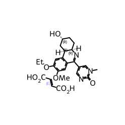 CCOc1cc2c(cc1OC)C(c1cnc(=O)n(C)c1)=N[C@@H]1CC[C@@H](O)C[C@H]21.O=C(O)/C=C/C(=O)O